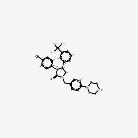 O=C1N(Cc2ccc(N3CCOCC3)nc2)C[C@H](c2cccc(C(F)(F)F)c2)N1c1ccc(Cl)cc1